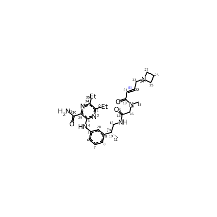 CCc1nc(Nc2cccc([C@@H](C)CNC(=O)CN(C)C(=O)/C=C/CN3CCC3)c2)c(C(N)=O)nc1CC